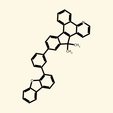 CC1(C)c2cc(-c3cccc(-c4cccc5c4oc4ccccc45)c3)ccc2-c2c1c1cccnc1c1ccccc21